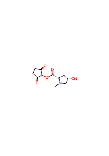 CN1C[C@H](O)C[C@H]1C(=O)ON1C(=O)CCC1=O